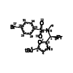 CC(C)[C@@H](c1ncc(C(C)(C)C)o1)N(C)S(=O)(=O)c1ccc(Br)cc1